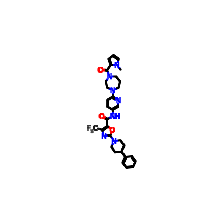 Cn1cccc1C(=O)N1CCCN(c2ccc(NC(=O)c3oc(N4CCC(c5ccccc5)CC4)nc3C(F)(F)F)cn2)CC1